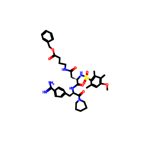 COc1cc(C)c(S(=O)(=O)N[C@@H](CC(=O)NCCCC(=O)OCc2ccccc2)C(=O)N[C@H](Cc2ccc(C(=N)N)cc2)C(=O)N2CCCCC2)c(C)c1C